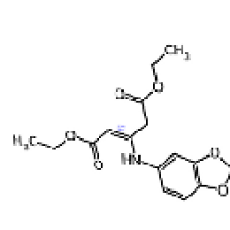 CCOC(=O)/C=C(/CC(=O)OCC)Nc1ccc2c(c1)OCO2